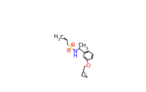 C=CCS(=O)(=O)NC(C)c1cccc(OCC2CC2)c1